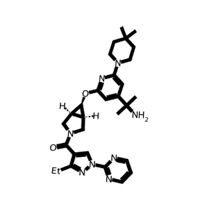 CCc1nn(-c2ncccn2)cc1C(=O)N1C[C@@H]2[C@H](C1)[C@@H]2Oc1cc(C(C)(C)N)cc(N2CCC(C)(C)CC2)n1